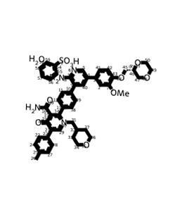 COc1cc(-c2cnc(N)c(-c3ccc(-c4c(C(N)=O)c(=O)c(-c5ccc(C)cc5)cn4CC4CCOCC4)cc3)c2)ccc1OC[C@H]1COCCO1.O.O=S(=O)(O)c1ccccc1